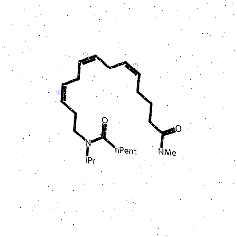 CCCCCC(=O)N(CC/C=C\C/C=C\C/C=C\CCCC(=O)NC)C(C)C